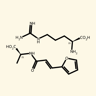 C[C@H](NC(=O)C=Cc1ccco1)C(=O)O.N=C(N)NCCC[C@H](N)C(=O)O